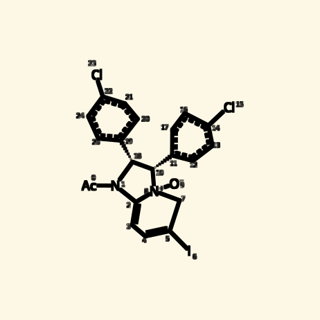 CC(=O)N1C2=CC=C(I)C[N+]2([O-])[C@@H](c2ccc(Cl)cc2)[C@H]1c1ccc(Cl)cc1